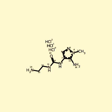 Cl.Cl.Cl.Cn1ncc(NC(=O)NCCN)c1N